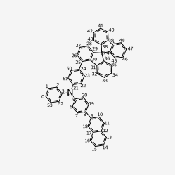 c1ccc(N(c2ccc(-c3ccc4ccccc4c3)cc2)c2ccc(-c3cccc4c3-c3ccccc3C4(c3ccccc3)c3ccccc3)cc2)cc1